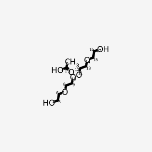 CC(=O)O.OCCOCCOOCCOCCO